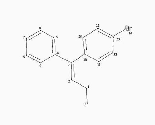 CCC=C(c1ccccc1)c1ccc(Br)cc1